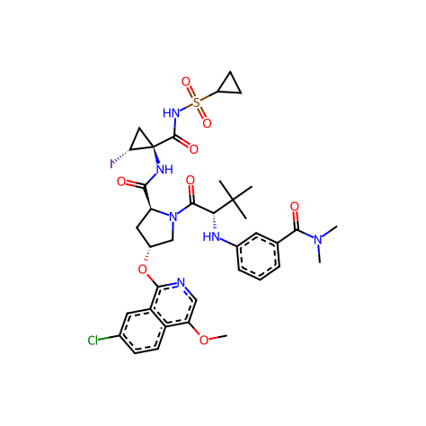 COc1cnc(O[C@@H]2C[C@@H](C(=O)N[C@]3(C(=O)NS(=O)(=O)C4CC4)C[C@H]3I)N(C(=O)[C@@H](Nc3cccc(C(=O)N(C)C)c3)C(C)(C)C)C2)c2cc(Cl)ccc12